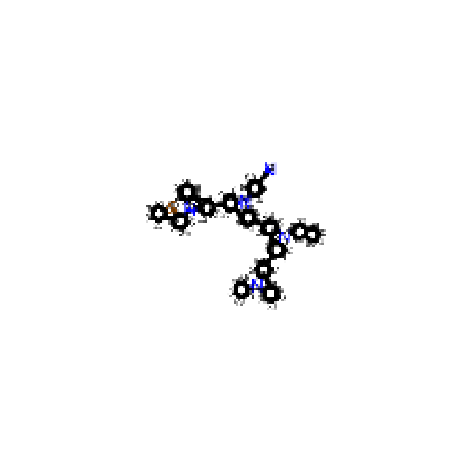 N#Cc1ccc(-n2c3ccc(-c4ccc5c(c4)c4ccccc4n5-c4cccc5c4sc4ccccc45)cc3c3ccc(-c4ccc5c(c4)c4cc(-c6ccc7c(c6)c6ccccc6n7-c6ccccc6)ccc4n5-c4ccc5ccccc5c4)cc32)cc1